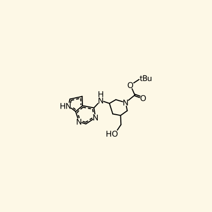 CC(C)(C)OC(=O)N1CC(CO)CC(Nc2ncnc3[nH]ccc23)C1